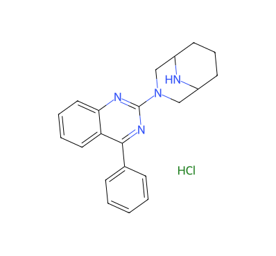 Cl.c1ccc(-c2nc(N3CC4CCCC(C3)N4)nc3ccccc23)cc1